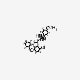 COc1ccc(S(=N)(=O)NCCCN2c3ccccc3CCc3ccc(Cl)cc32)cc1